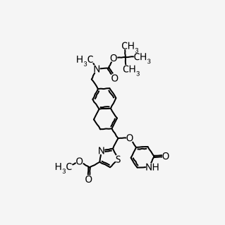 COC(=O)c1csc(C(Oc2cc[nH]c(=O)c2)C2=Cc3ccc(CN(C)C(=O)OC(C)(C)C)cc3CC2)n1